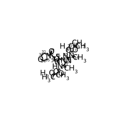 C[C@H](NC(=O)OC(C)(C)C)c1nc(N(C)C(=O)OC(C)(C)C)nn1-c1ncc(C(=O)N2CCOCC2)s1